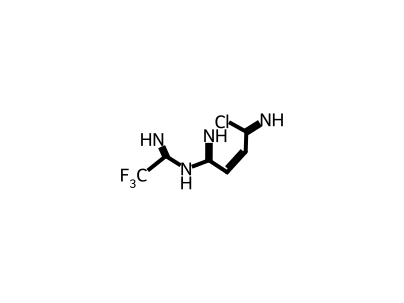 N=C(Cl)/C=C\C(=N)NC(=N)C(F)(F)F